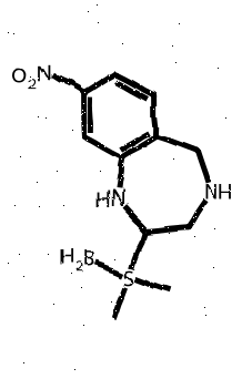 BS(C)(C)C1CNCc2ccc([N+](=O)[O-])cc2N1